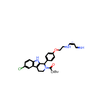 CC(C)COC(=O)N1CCc2c([nH]c3ccc(Cl)cc23)C1c1ccc(OCCN/C=C\C=N)cc1